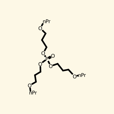 CCCOCCCOP(=O)(OCCCOCCC)OCCCOCCC